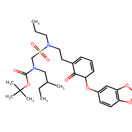 CCCN(CCC1=CC=CC(Oc2ccc3c(c2)OCO3)C1=O)S(=O)(=O)CN(CC(C)CC)C(=O)OC(C)(C)C